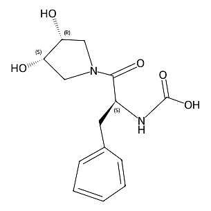 O=C(O)N[C@@H](Cc1ccccc1)C(=O)N1C[C@@H](O)[C@@H](O)C1